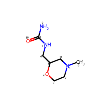 CN1CCOC(CNC(N)=O)C1